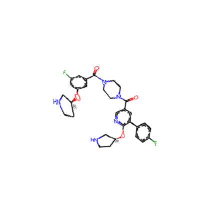 O=C(c1cc(F)cc(O[C@H]2CCNC2)c1)N1CCN(C(=O)c2cnc(O[C@H]3CCNC3)c(-c3ccc(F)cc3)c2)CC1